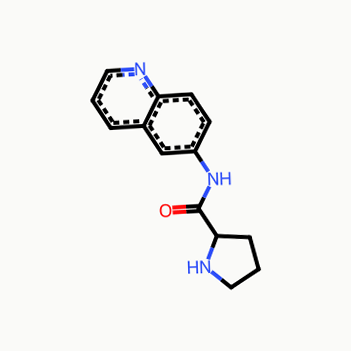 O=C(Nc1ccc2ncccc2c1)C1CCCN1